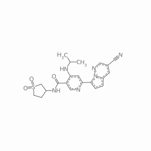 CC(C)Nc1cc(-c2ccc3cc(C#N)cnn23)ncc1C(=O)NC1CCS(=O)(=O)C1